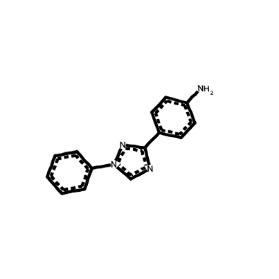 Nc1ccc(-c2ncn(-c3ccccc3)n2)cc1